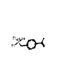 C=C(C)c1ccc(C[PH](CC)(CC)CC)cc1